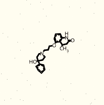 CC1CC(=O)Nc2cccc(OCCCN3CCC(O)(c4ccccc4)CC3)c21